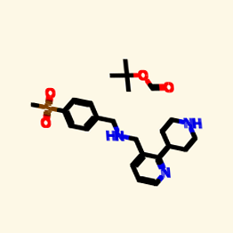 CC(C)(C)OC=O.CS(=O)(=O)c1ccc(CNCc2cccnc2C2CCNCC2)cc1